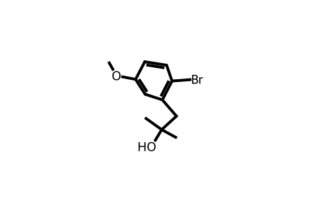 COc1ccc(Br)c(CC(C)(C)O)c1